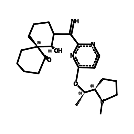 C[C@H](Oc1ccnc(C(=N)C2CCC[C@@]3(CCCCC3=O)[C@@H]2O)n1)[C@@H]1CCCN1C